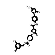 CC1=NN(c2ccc(NC(=O)C3CC(=O)N(C4CCN(C(=O)OCc5cc(Cl)cc(Cl)c5)CC4)C3)cc2)C(=O)C1